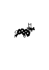 CC(C)C1NN=C(C23CCC4C(C(=O)C=C5C6(C)C=C(C#N)C(=O)C(C)(C)C6CCC54C)C2CC(C)(C)CC3)O1